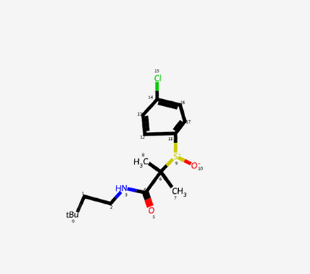 CC(C)(C)CCNC(=O)C(C)(C)[S+]([O-])c1ccc(Cl)cc1